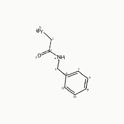 CC(C)CC(=O)NCc1ccccc1